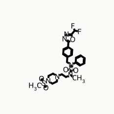 CN(CCN1CCN(S(C)(=O)=O)CC1)S(=O)(=O)N(Cc1ccc(-c2nnc(C(F)F)o2)cc1)c1ccccc1